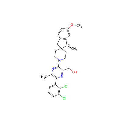 Cc1nc(N2CCC3(CC2)Cc2ccc(OC(F)(F)F)cc2[C@H]3C)c(CO)nc1-c1cccc(Cl)c1Cl